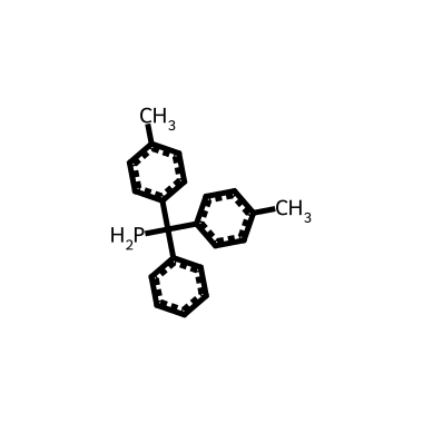 Cc1ccc(C(P)(c2ccccc2)c2ccc(C)cc2)cc1